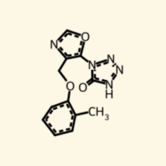 Cc1ccccc1OCc1ncoc1-n1nn[nH]c1=O